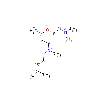 CC(CCN(C)CCSC(C)C)OCCN(C)C